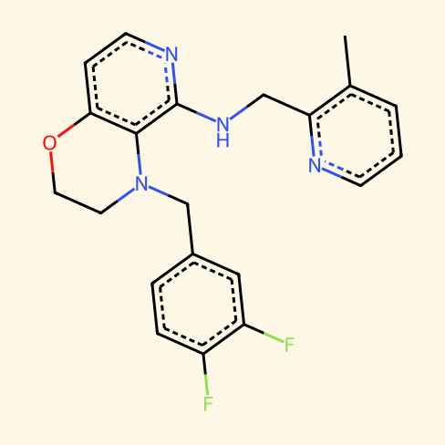 Cc1cccnc1CNc1nccc2c1N(Cc1ccc(F)c(F)c1)CCO2